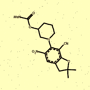 CNC(=O)OC1CCCN(c2c([N+](=O)[O-])cc3c(c2C#N)OC(C)(C)C3)C1